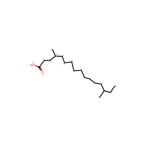 CCC(C)CCCCCCCCCC(C)CCC(=O)O